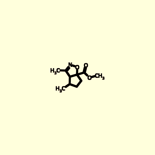 COC(=O)C12CCC(C)C1C(C)=NO2